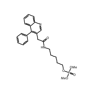 COP(=O)(OC)OCCCCCNC(=O)Cc1cnc2ccccc2c1-c1ccccc1